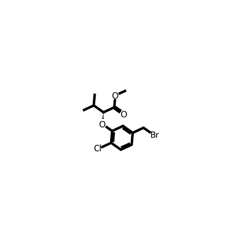 COC(=O)[C@H](Oc1cc(CBr)ccc1Cl)C(C)C